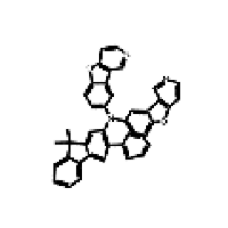 CC1(C)c2ccccc2-c2cc(-c3ccccc3)c(N(c3ccc4oc5ccncc5c4c3)c3ccc4oc5ccncc5c4c3)cc21